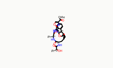 COC(=O)c1coc(-c2nc3oc2[C@@]24c5ccccc5NC2Oc2ccc(cc24)C[C@H](NC(=O)[C@@H](O)C(C)C)C(=O)N[C@H]3C(C)C)n1